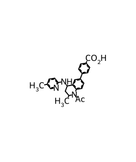 CC(=O)N1c2ccc(-c3ccc(C(=O)O)cc3)cc2C(Nc2ccc(C)cn2)CC1C